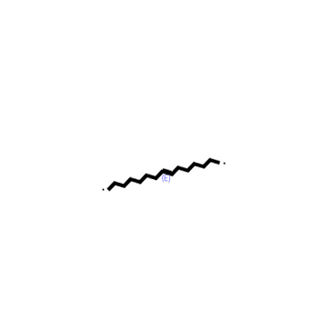 [CH2]CCCCC/C=C/CCCCCC[CH2]